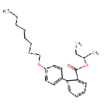 CCCCCCCCOc1ccc(-c2ccccc2C(=O)OC(C)CC)cc1